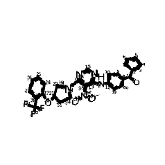 O=C(c1ccccc1)c1ccc(Nc2ncnc(N3CCC(Oc4ccccc4C(F)(F)F)CC3)c2[N+](=O)[O-])cc1